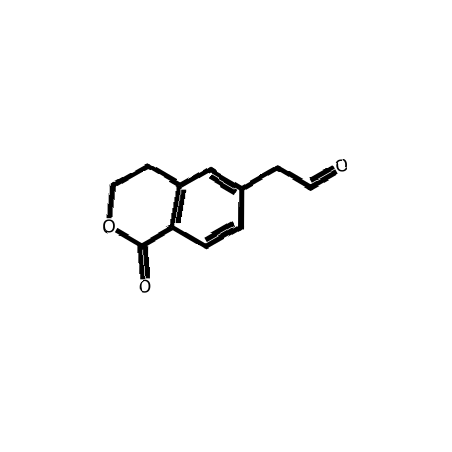 O=CCc1ccc2c(c1)CCOC2=O